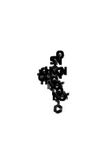 COc1csc(-c2cn([C@@H]3C[C@H](CN(CCCN(CCc4ccccc4)C(=O)OC(C)(C)C)C(=O)OC(C)(C)C)[C@H]4OC(C)(C)O[C@H]43)c3ncncc23)n1